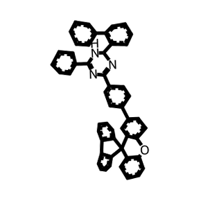 c1ccc(C2=NC(c3ccc(-c4ccc5c(c4)C4(c6ccccc6O5)c5ccccc5-c5ccccc54)cc3)=NC(c3ccccc3-c3ccccc3)N2)cc1